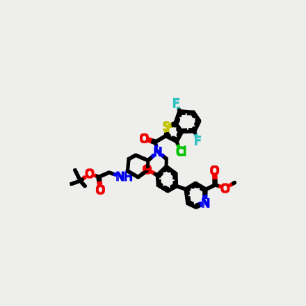 COC(=O)c1cc(-c2ccc(OC)c(CN(C(=O)c3sc4c(F)ccc(F)c4c3Cl)C3CCC(NCC(=O)OC(C)(C)C)CC3)c2)ccn1